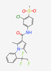 Cc1cc(C(=O)Nc2ccc(S(C)(=O)=O)c(Cl)c2)c(C)n1-c1ccccc1C(F)(F)CF